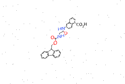 O=C(CNC(=O)OCC1c2ccccc2-c2ccccc21)Nc1ccc2c(C(=O)O)cccc2c1